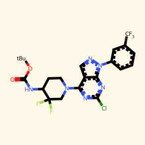 CC(C)(C)OC(=O)NC1CCN(c2nc(Cl)nc3c2cnn3-c2cccc(C(F)(F)F)c2)CC1(F)F